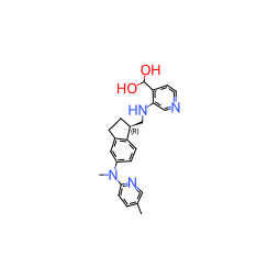 Cc1ccc(N(C)c2ccc3c(c2)CC[C@H]3CNc2cnccc2C(O)O)nc1